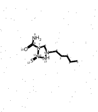 CCCCCN1CN(C(N)=O)[N+](=S)N1